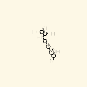 Cc1cc(C)c2nc(C)cc(Nc3ccc(N4CCC(N5CCc6cc(CN)ccc6NC5=O)CC4)cc3)c2c1